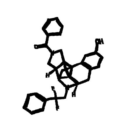 O=C(c1ccccc1)N1C[C@H]2C[C@@]34CCC1C2[C@@]31CCN(CC(F)(F)c2ccccc2)[C@@H]4Cc2ccc(O)cc21